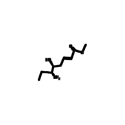 CC[C@H](N)[C@@H](O)C/C=C/C(=O)OC